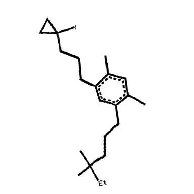 CCC(C)(C)CCCc1cc(CCCC2(I)CC2)c(C)cc1C